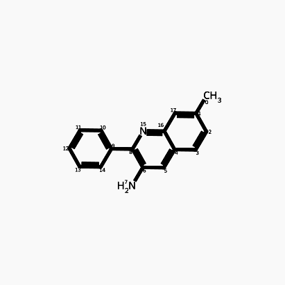 Cc1ccc2cc(N)c(-c3ccccc3)nc2c1